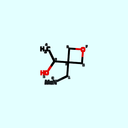 CNCC1(C(C)O)COC1